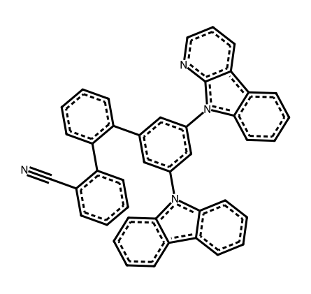 N#Cc1ccccc1-c1ccccc1-c1cc(-n2c3ccccc3c3ccccc32)cc(-n2c3ccccc3c3cccnc32)c1